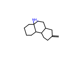 C=C1CCC2C(CCC3(N)CCCCC23)C1